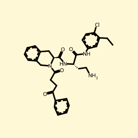 CCc1cc(NC(=O)[C@H](CCN)NC(=O)[C@@H]2Cc3ccccc3CN2C(=O)CCC(=O)c2ccccc2)ccc1Cl